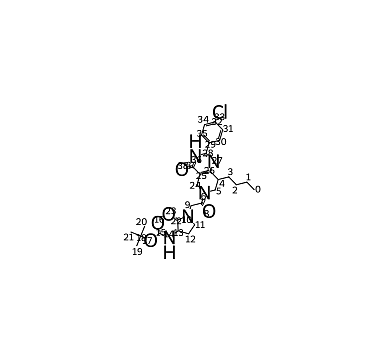 CCCCC1CN(C(=O)CN2CCC(NC(=O)OC(C)(C)C)C2=O)Cc2c1nc(-c1ccc(Cl)cc1)[nH]c2=O